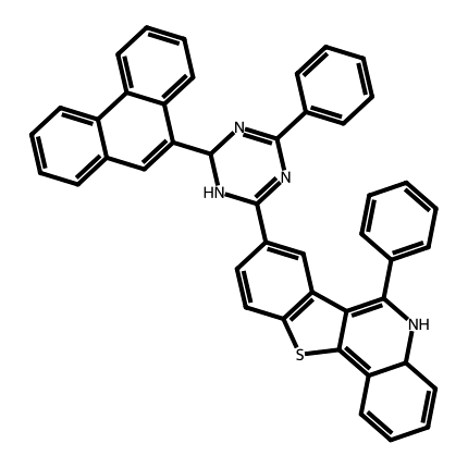 C1=CC2=c3sc4ccc(C5=NC(c6ccccc6)=NC(c6cc7ccccc7c7ccccc67)N5)cc4c3=C(c3ccccc3)NC2C=C1